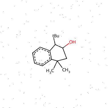 CC1(C)CC(O)C(C(C)(C)C)c2ccccc21